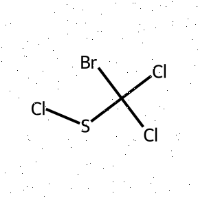 ClSC(Cl)(Cl)Br